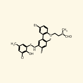 CCc1ccc(OCCN(C)C=O)c(-c2cc(NSc3cc(C)cc(Cl)c3O)c(F)cc2F)c1